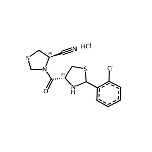 Cl.N#C[C@@H]1CSCN1C(=O)[C@@H]1CSC(c2ccccc2Cl)N1